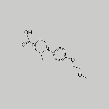 COCCOc1ccc(N2CCN(C(=O)O)CC2C)cc1